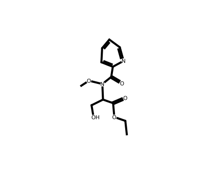 CCOC(=O)C(CO)N(OC)C(=O)c1ccccn1